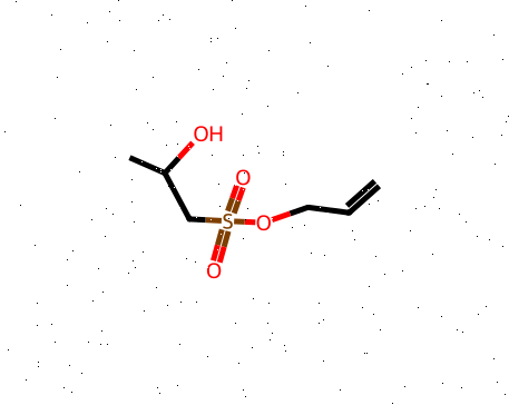 C=CCOS(=O)(=O)CC(C)O